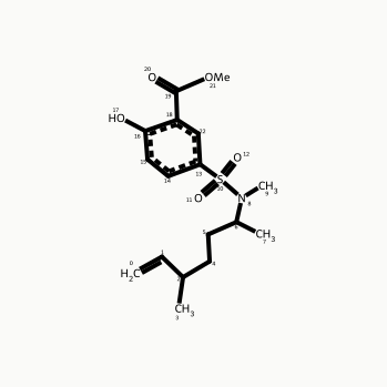 C=CC(C)CCC(C)N(C)S(=O)(=O)c1ccc(O)c(C(=O)OC)c1